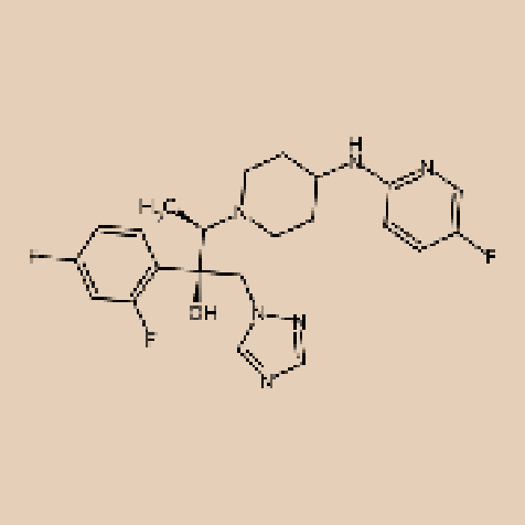 C[C@@H](N1CCC(Nc2ccc(F)cn2)CC1)[C@](O)(Cn1cncn1)c1ccc(F)cc1F